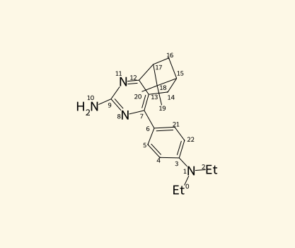 CCN(CC)c1ccc(-c2nc(N)nc3c2CC2CC3C2(C)C)cc1